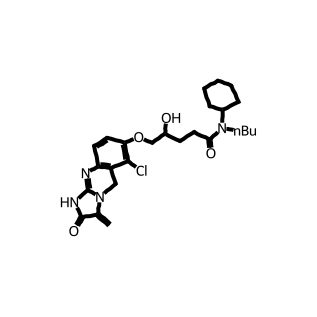 C=c1c(=O)[nH]c2n1Cc1c(ccc(OCC(O)CCC(=O)N(CCCC)C3CCCCC3)c1Cl)N=2